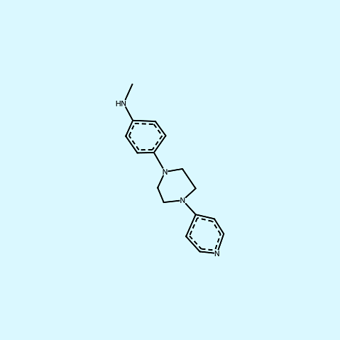 CNc1ccc(N2CCN(c3ccncc3)CC2)cc1